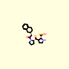 O=C(C1CCN[C@@H]1C(O)=S)[C@@H]1CCCN1C(=O)C[C@@H]1CCc2ccccc2C1